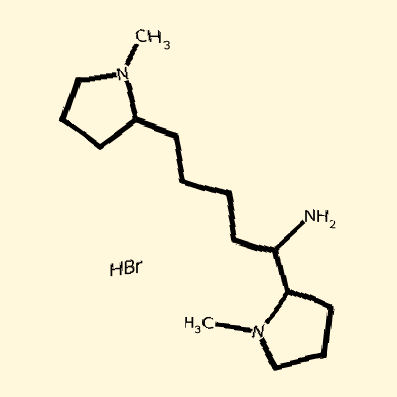 Br.CN1CCCC1CCCCC(N)C1CCCN1C